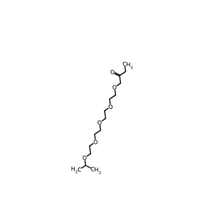 CCC(=O)COCCOCCOCCOCCOC(C)C